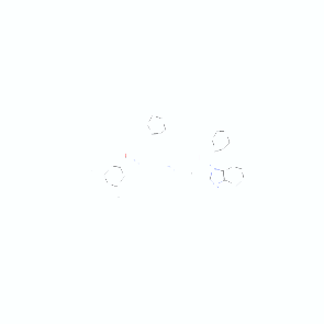 O=C(c1cc(C(F)(F)F)cc(C(F)(F)F)c1)N1CC[C@H](N2CCC(O)(Cc3nc4ccccc4n3Cc3ccc(F)cc3)CC2)C[C@H]1Cc1ccccc1